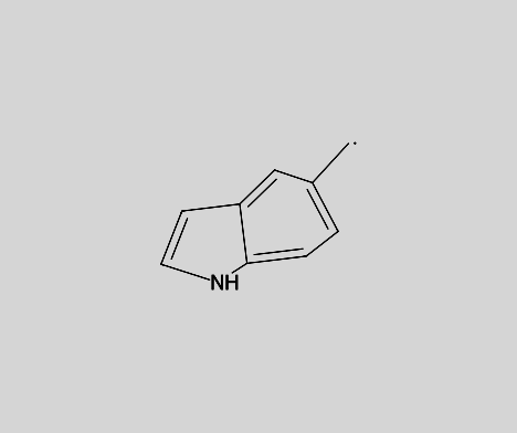 [CH2]c1ccc2[nH]ccc2c1